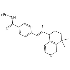 CCCNC(=O)c1ccc(C=C(C)C2CCC(C)(C)C3=C2C=COC3)cc1